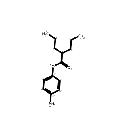 CCCC(CCC)C(=O)Oc1ccc(N)cc1